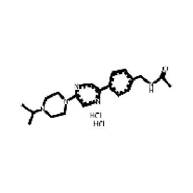 CC(=O)NCc1ccc(-c2cnc(N3CCN(C(C)C)CC3)cn2)cc1.Cl.Cl